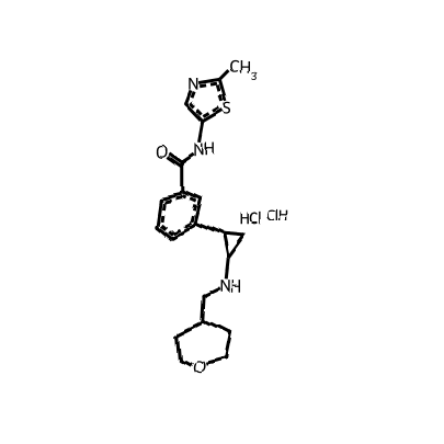 Cc1ncc(NC(=O)c2cccc(C3CC3NCC3CCOCC3)c2)s1.Cl.Cl